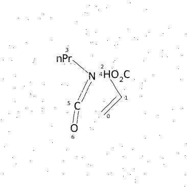 C=CC(=O)O.CCCN=C=O